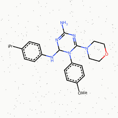 COc1ccc(N2C(N3CCOCC3)=NC(N)=NC2Nc2ccc(C(C)C)cc2)cc1